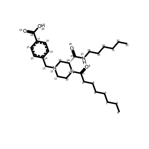 CCCCCCCC(=O)N1CCN(Cc2ccc(C(=O)O)cc2)C[C@@H]1C(=O)NCCCCCC